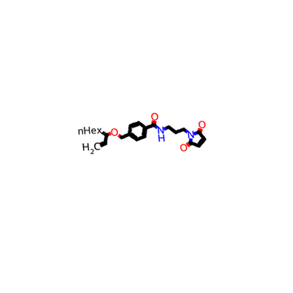 C=CC(CCCCCC)OCc1ccc(C(=O)NCCCN2C(=O)C=CC2=O)cc1